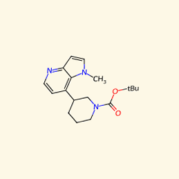 Cn1ccc2nccc(C3CCCN(C(=O)OC(C)(C)C)C3)c21